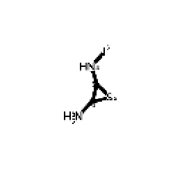 NC1SC1NI